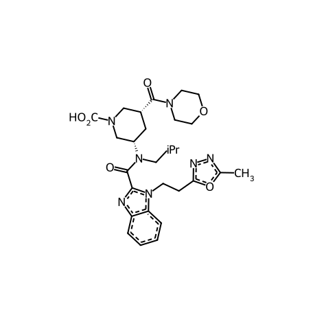 Cc1nnc(CCn2c(C(=O)N(CC(C)C)[C@H]3C[C@@H](C(=O)N4CCOCC4)CN(C(=O)O)C3)nc3ccccc32)o1